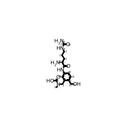 CN(Cc1cc(NC(=O)[C@@H](N)CCCNC(N)=O)ccc1CO)C(=O)O